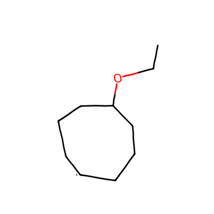 CCOC1CCC[CH]CCC1